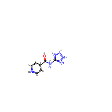 O=C(Nc1nnn[nH]1)c1ccncc1